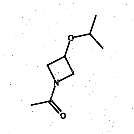 CC(=O)N1CC(OC(C)C)C1